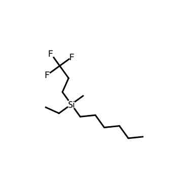 CCCCCC[Si](C)(CC)CCC(F)(F)F